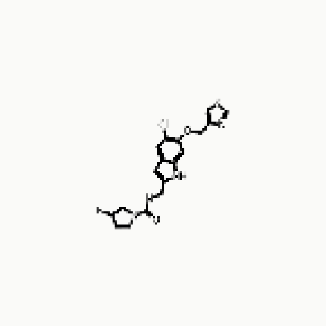 O=C(NCc1cc2cc(Cl)c(OCc3cscn3)cc2[nH]1)N1CCC(F)C1